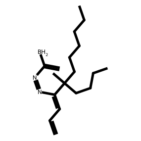 BC(=C)/N=N\C(=C/C=C)C(C)(CCCC)CCCCCC